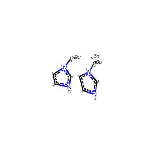 CCCCn1ccnc1.CCCCn1ccnc1.[Zn]